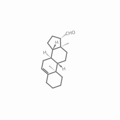 C[C@]12CC[C@H]3[C@@H](CC=C4CCCC[C@@]43C)[C@@H]1CC[C@@H]2C=O